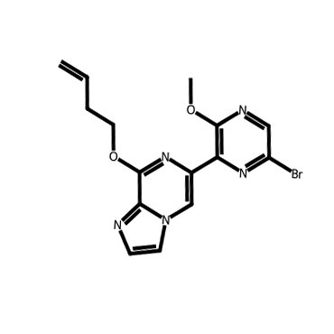 C=CCCOc1nc(-c2nc(Br)cnc2OC)cn2ccnc12